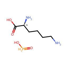 NCCCC[C@H](N)C(=O)O.O=[PH2]O